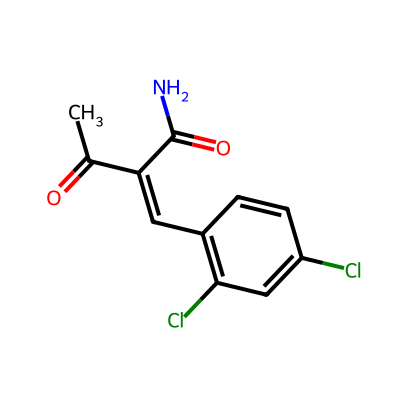 CC(=O)C(=Cc1ccc(Cl)cc1Cl)C(N)=O